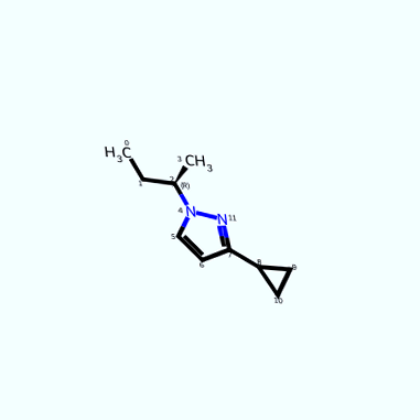 CC[C@@H](C)n1ccc(C2CC2)n1